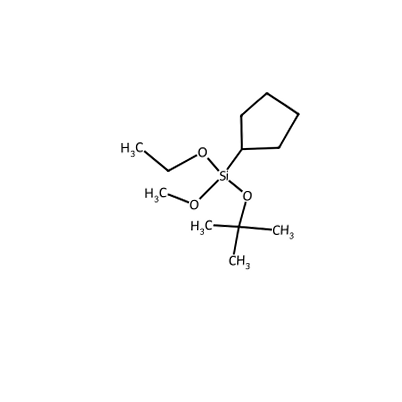 CCO[Si](OC)(OC(C)(C)C)C1CCCC1